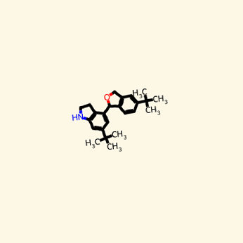 CC(C)(C)c1ccc2c(c1)COC2c1cc(C(C)(C)C)cc2c1CCN2